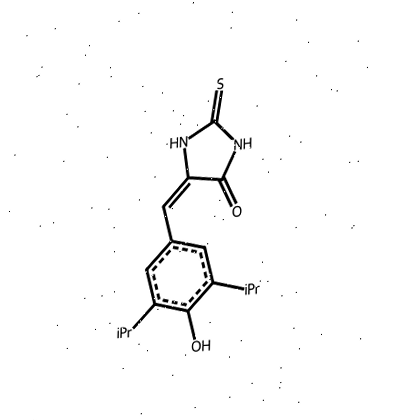 CC(C)c1cc(C=C2NC(=S)NC2=O)cc(C(C)C)c1O